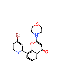 O=c1cc(N2CCOCC2)oc2c(-c3cc(Br)ccn3)cccc12